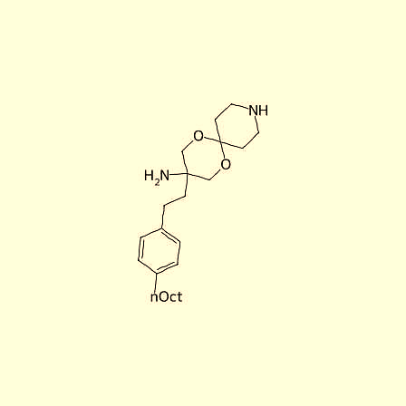 CCCCCCCCc1ccc(CCC2(N)COC3(CCNCC3)OC2)cc1